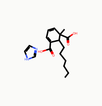 CCCCCCC1C(C(=O)O)=CC=CC1(C)C(=O)O.c1c[nH]cn1